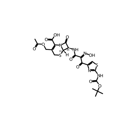 CC(=O)OCC1=C(C(=O)O)N2C(=O)[C@@H](NC(=O)C(=NO)C(=O)c3csc(NC(=O)OC(C)(C)C)n3)[C@@H]2SC1